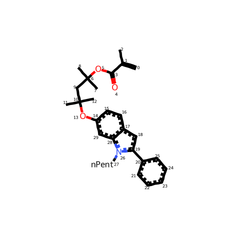 C=C(C)C(=O)OC(C)(C)CC(C)(C)Oc1ccc2cc(-c3ccccc3)n(CCCCC)c2c1